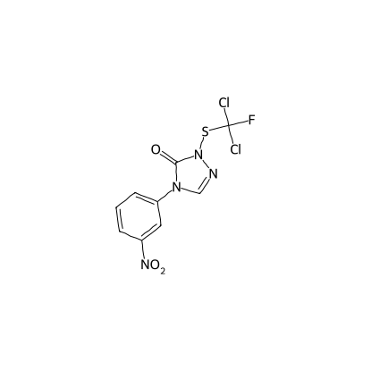 O=c1n(-c2cccc([N+](=O)[O-])c2)cnn1SC(F)(Cl)Cl